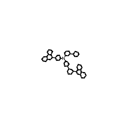 c1ccc(-c2cccc(N(c3ccc(-c4cccc(-c5cc6ccccc6c6ccccc56)c4)cc3)c3ccc(-c4cc5ccccc5c5ccccc45)cc3)c2)cc1